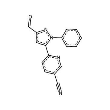 N#Cc1ccc(-c2cc(C=O)nn2-c2ccccc2)nc1